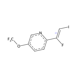 F/C(=C\I)c1ccc(OC(F)(F)F)cn1